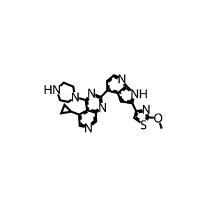 COc1nc(-c2cc3c(-c4nc(N5CCNCC5)c5c(C6CC6)cncc5n4)ccnc3[nH]2)cs1